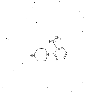 CNc1cccnc1N1CCNCC1